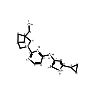 OCC12CC(CN(c3nccc(Nc4cc(C5CC5)[nH]n4)n3)C1)C2